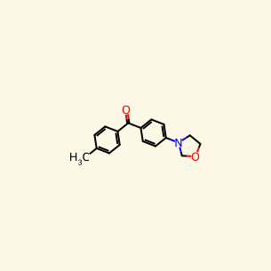 Cc1ccc(C(=O)c2ccc(N3CCOC3)cc2)cc1